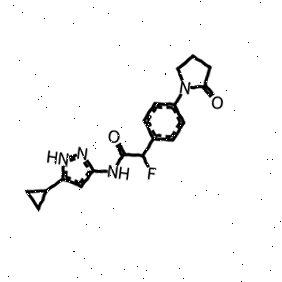 O=C(Nc1cc(C2CC2)[nH]n1)C(F)c1ccc(N2CCCC2=O)cc1